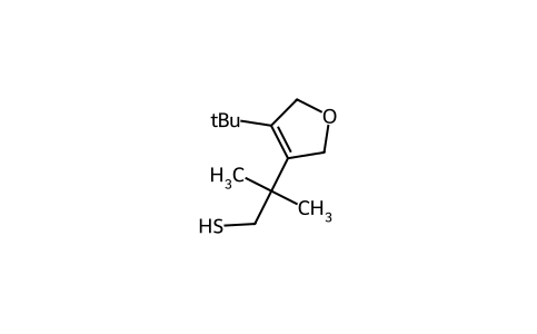 CC(C)(C)C1=C(C(C)(C)CS)COC1